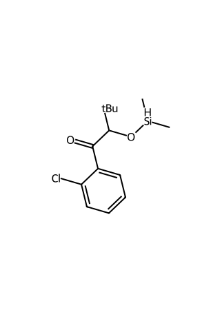 C[SiH](C)OC(C(=O)c1ccccc1Cl)C(C)(C)C